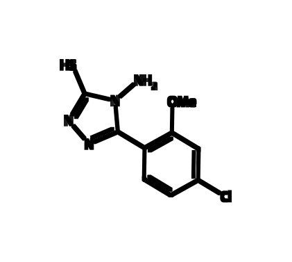 COc1cc(Cl)ccc1-c1nnc(S)n1N